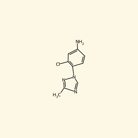 Cc1ncn(-c2ccc(N)cc2Cl)n1